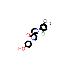 Cc1ccc(Cl)c(N2CCC[C@]3(CCN([C@H]4CC[C@H](O)CC4)C3=O)C2)c1